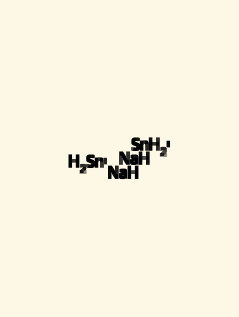 [NaH].[NaH].[SnH2].[SnH2]